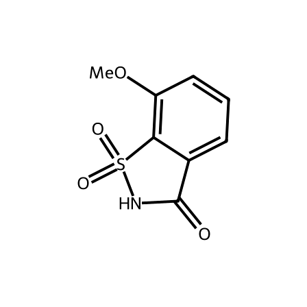 COc1cccc2c1S(=O)(=O)NC2=O